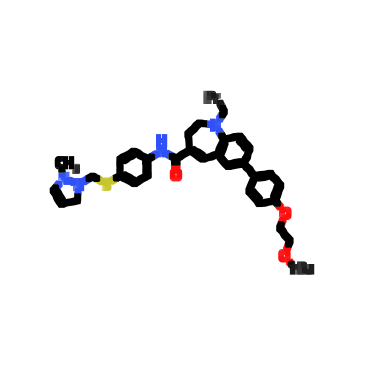 CCCCOCCOc1ccc(-c2ccc3c(c2)C=C(C(=O)Nc2ccc(SCN4CC=CN4C)cc2)CCN3CC(C)C)cc1